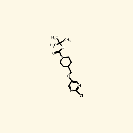 CC(C)(C)OC(=O)N1CCC(COc2cnc(Cl)nc2)CC1